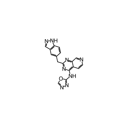 c1cc2c(Nc3nnco3)nc(Cc3ccc4[nH]ncc4c3)nc2cn1